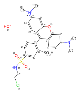 CCN(CC)c1ccc2c(-c3ccc(S(=O)(=O)NCCCl)cc3S(=O)(=O)O)c3ccc(=[N+](CC)CC)cc-3oc2c1.[OH-]